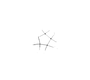 FC1(F)CC(F)(Cl)C(F)(Cl)C1(F)F